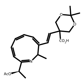 CC(=O)O[C@H](C)C1=N/C(C)C(/C=C/C2(C(=O)O)COC(C)(C)OC2)=C\C=C/C=C\1